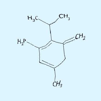 C=C1CC(C)=CC(P)=C1C(C)C